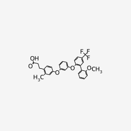 COc1ccccc1-c1cc(C(F)(F)F)ccc1Oc1cccc(Oc2ccc(CCC(=O)O)c(C)c2)c1